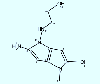 Cn1c(O)cc2c1cc(N)n2NCCO